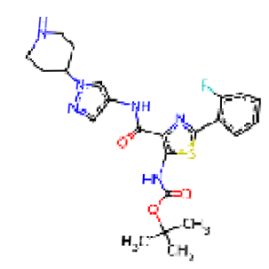 CC(C)(C)OC(=O)Nc1sc(-c2ccccc2F)nc1C(=O)Nc1cnn(C2CCNCC2)c1